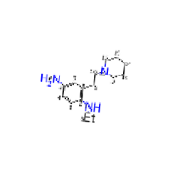 CCNc1ccc(N)cc1CCN1CCCCC1